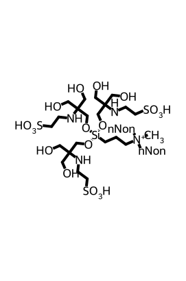 CCCCCCCCC[N+](C)(CCCCCCCCC)CCC[Si](OCC(CO)(CO)NCCS(=O)(=O)O)(OCC(CO)(CO)NCCS(=O)(=O)O)OCC(CO)(CO)NCCS(=O)(=O)O